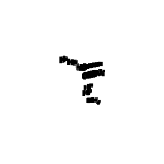 CO.F.F.F.F.N=O.[SiH4]